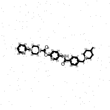 CC1CCN(Cc2ccc(C(=O)Nc3ccc(OC(=O)N4CCN(c5ccccn5)CC4)nc3)cc2)CC1